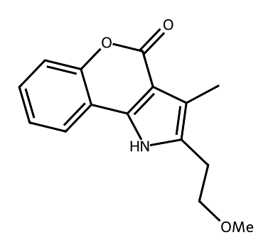 COCCc1[nH]c2c(c1C)c(=O)oc1ccccc12